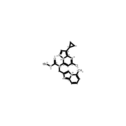 Cc1cccc2nc(CN(C(=O)OC(C)(C)C)c3cc(Cl)nc4c(C5CC5)cnn34)cn12